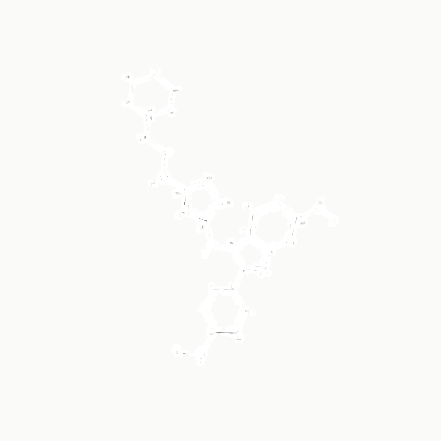 COc1ccc(-c2sc3cc(OC)ccc3c2Oc2cc(OCCN3CCCCC3)cs2)cc1